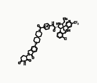 CC(C)(C)C[C@@H]1N[C@@H](C(=O)NC23CCC(C(=O)N4CCC5(CC4)CCN(c4ccc6c(c4)CN(C4CCC(=O)NC4=O)C6=O)CC5)(CC2)CC3)[C@H](c2cccc(Cl)c2F)[C@]12CNc1cc(C(F)(F)F)ncc12